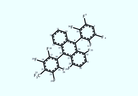 Fc1cc(F)c(F)c(-c2c3ccccc3c(-c3c(F)c(F)c(C(F)(F)F)c(F)c3F)c3c(F)ccc(F)c23)c1F